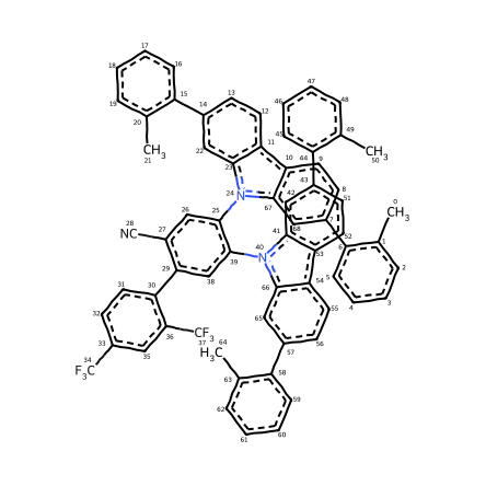 Cc1ccccc1-c1ccc2c3ccc(-c4ccccc4C)cc3n(-c3cc(C#N)c(-c4ccc(C(F)(F)F)cc4C(F)(F)F)cc3-n3c4cc(-c5ccccc5C)ccc4c4ccc(-c5ccccc5C)cc43)c2c1